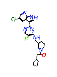 O=C(CC1CCCC1)N1CCC[C@H](CNc2nc(-c3c[nH]c4ncc(Cl)cc34)ncc2F)C1